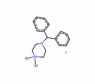 CC[N+]1(CC)CCN(C(c2ccccc2)c2ccccc2)CC1.[I-]